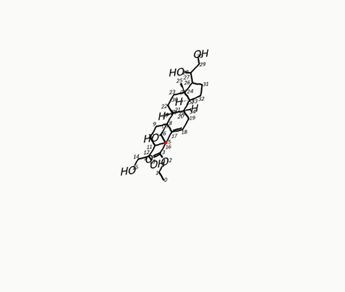 CCOC(=O)CC(O)[C@]12CCC(C(O)CO)CC1=CC[C@@H]1[C@H]2CC[C@]2(C)C(C(O)CO)CC[C@@H]12